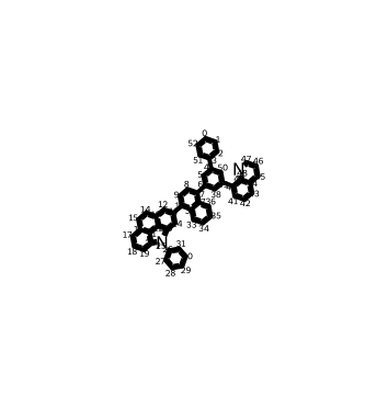 c1ccc(-c2cc(-c3ccc(-c4cc5ccc6cccc7c6c5c(c4)n7-c4ccccc4)c4ccccc34)cc(-c3cccc4cccnc34)c2)cc1